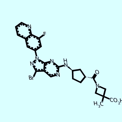 CC1(C(=O)O)CN(C(=O)[C@@H]2CC[C@@H](Nc3ncc4c(Br)nn(-c5cc(F)c6ncccc6c5)c4n3)C2)C1